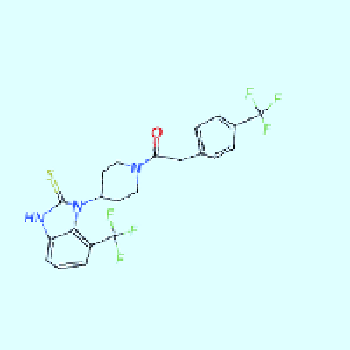 O=C(Cc1ccc(C(F)(F)F)cc1)N1CCC(n2c(=S)[nH]c3cccc(C(F)(F)F)c32)CC1